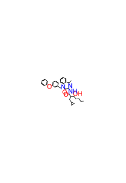 CCCCC(O)C(CC1CC1)C(=O)NC1N=C(C)c2ccccc2N(Cc2cccc(Oc3ccccc3)c2)C1=O